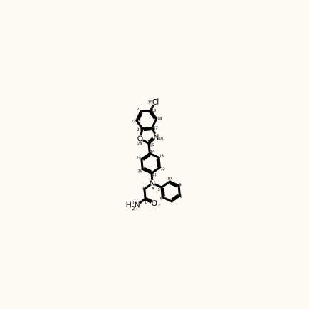 NC(=O)CN(c1ccccc1)c1ccc(-c2nc3cc(Cl)ccc3o2)cc1